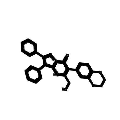 O=c1c(-c2ccc3c(c2)OCCO3)c(CO)[nH]c2c(-c3ccccc3)c(-c3ccccc3)nn12